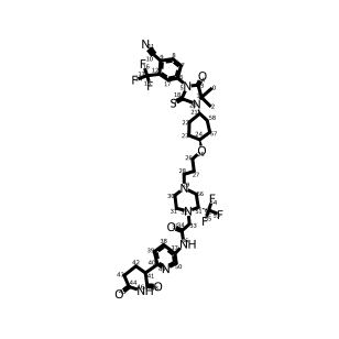 CC1(C)C(=O)N(c2ccc(C#N)c(C(F)(F)F)c2)C(=S)N1[C@H]1CC[C@H](OCCCN2CCN(CC(=O)Nc3ccc(C4CCC(=O)NC4=O)nc3)[C@@H](C(F)(F)F)C2)CC1